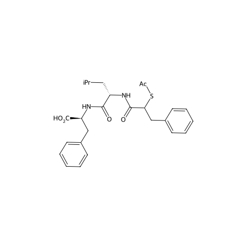 CC(=O)SC(Cc1ccccc1)C(=O)N[C@@H](CC(C)C)C(=O)N[C@@H](Cc1ccccc1)C(=O)O